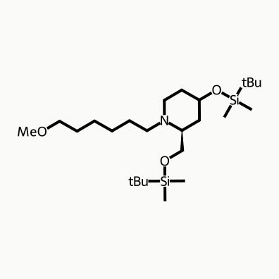 COCCCCCCN1CCC(O[Si](C)(C)C(C)(C)C)C[C@H]1CO[Si](C)(C)C(C)(C)C